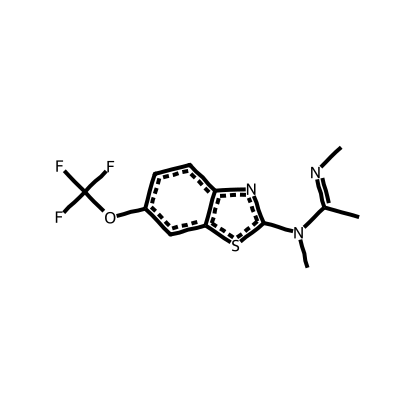 CN=C(C)N(C)c1nc2ccc(OC(F)(F)F)cc2s1